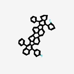 Fc1ccc(-c2c3c(c(-c4ccccc4)c4ccccc24)-c2ccc4c5ccc6c7c(ccc(c8ccc-3c2c48)c75)-c2c-6c(-c3ccccc3)c3ccccc3c2-c2ccccc2F)cc1